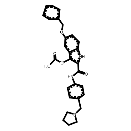 O=C(Nc1ccc(CN2CCCC2)cc1)c1[nH]c2ccc(OCc3ccccc3)cc2c1OC(=O)C(F)(F)F